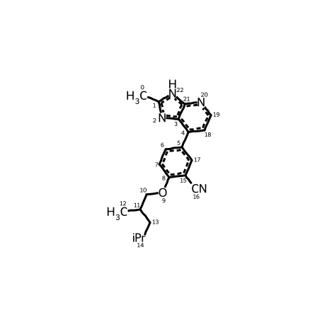 Cc1nc2c(-c3ccc(OCC(C)CC(C)C)c(C#N)c3)ccnc2[nH]1